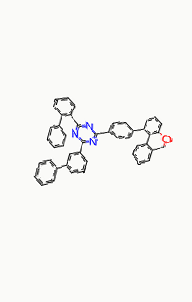 c1ccc(-c2cccc(-c3nc(-c4ccc(-c5cccc6c5-c5ccccc5CO6)cc4)nc(-c4ccccc4-c4ccccc4)n3)c2)cc1